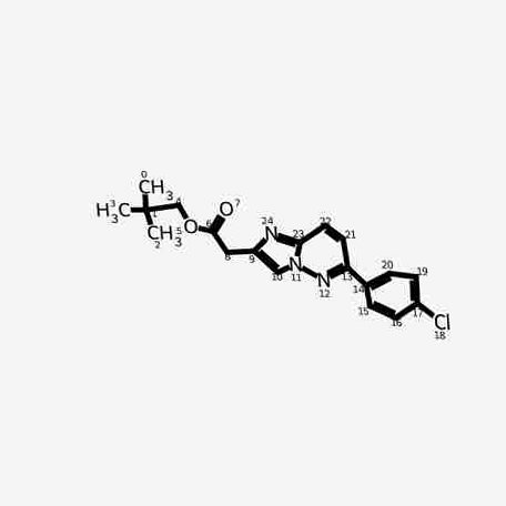 CC(C)(C)COC(=O)Cc1cn2nc(-c3ccc(Cl)cc3)ccc2n1